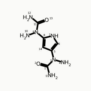 NC(=O)N(N)c1c[nH]c(N(N)C(N)=O)c1